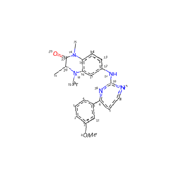 COc1cccc(-c2ccnc(Nc3ccc4c(c3)N(C(C)C)C(C)C(=O)N4C)n2)c1